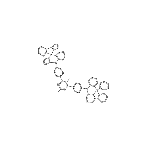 Cc1nc(-c2ccc(N3c4ccccc4C4(c5ccccc5-c5ccccc54)c4ccccc43)cc2)c(C)c(-c2ccc(N3c4ccccc4[Si](c4ccccc4)(c4ccccc4)c4ccccc43)cc2)n1